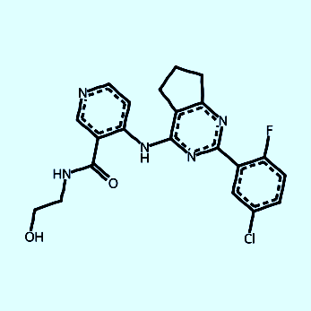 O=C(NCCO)c1cnccc1Nc1nc(-c2cc(Cl)ccc2F)nc2c1CCC2